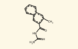 Cc1cc2ccccc2cc1C(=O)NC(=N)N